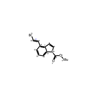 CC(C)(C)OC(=O)n1ccc2c(/C=C/Br)cccc21